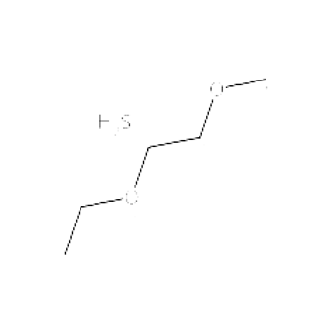 CCOCCOC.S